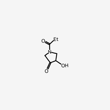 CCC(=O)N1CC(=O)C(O)C1